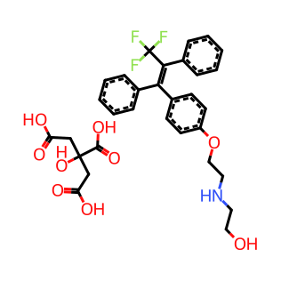 O=C(O)CC(O)(CC(=O)O)C(=O)O.OCCNCCOc1ccc(/C(=C(\c2ccccc2)C(F)(F)F)c2ccccc2)cc1